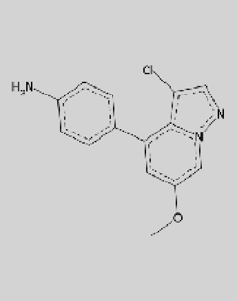 COc1cc(-c2ccc(N)cc2)c2c(Cl)cnn2c1